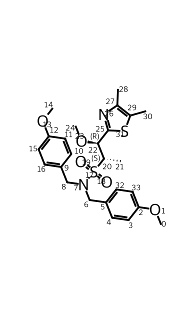 COc1ccc(CN(Cc2ccc(OC)cc2)S(=O)(=O)[C@@H](C)[C@@H](OC)c2nc(C)c(C)s2)cc1